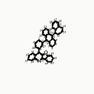 c1cc(-c2c3ccccc3c(-c3cccc4ccccc34)c3ccccc23)cc(-c2c3ccccc3nc3c2oc2ccccc23)c1